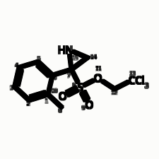 Cc1ccccc1C1(S(=O)(=O)OCC(Cl)(Cl)Cl)CN1